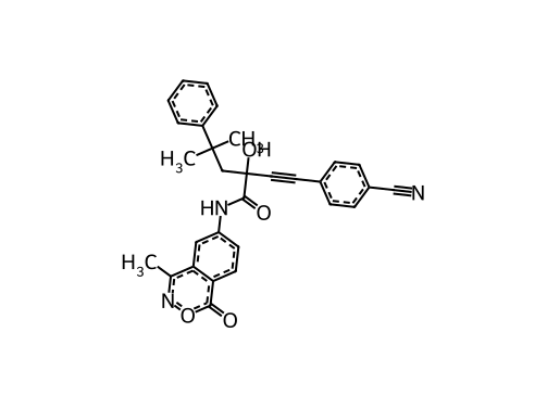 Cc1noc(=O)c2ccc(NC(=O)C(O)(C#Cc3ccc(C#N)cc3)CC(C)(C)c3ccccc3)cc12